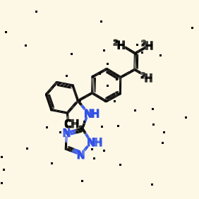 [2H]C([2H])=C([2H])c1ccc(C2(Nc3ncn[nH]3)C=CC=CC2C)cc1